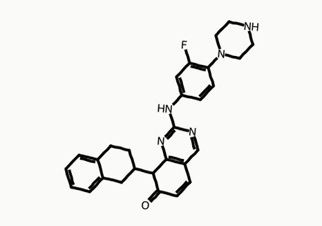 O=C1C=Cc2cnc(Nc3ccc(N4CCNCC4)c(F)c3)nc2C1C1CCc2ccccc2C1